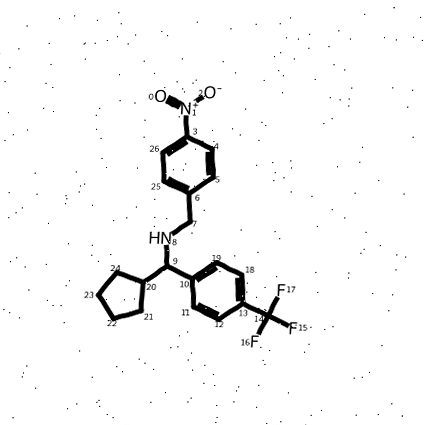 O=[N+]([O-])c1ccc(CNC(c2ccc(C(F)(F)F)cc2)C2CCCC2)cc1